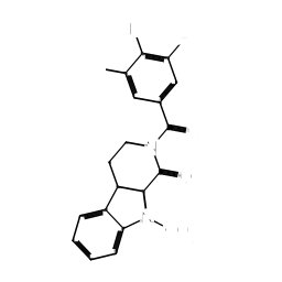 O=C(c1cc(F)c(F)c(F)c1)N1CCC2c3ccccc3N(C(=O)O)C2C1=O